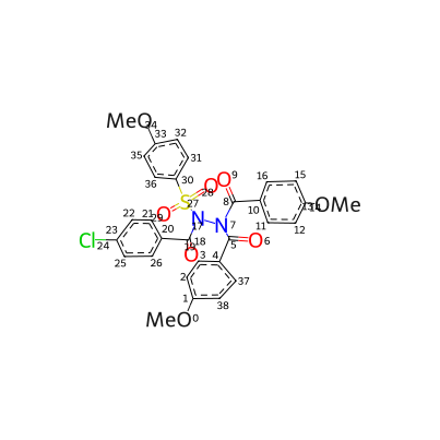 COc1ccc(C(=O)N(C(=O)c2ccc(OC)cc2)N(C(=O)c2ccc(Cl)cc2)S(=O)(=O)c2ccc(OC)cc2)cc1